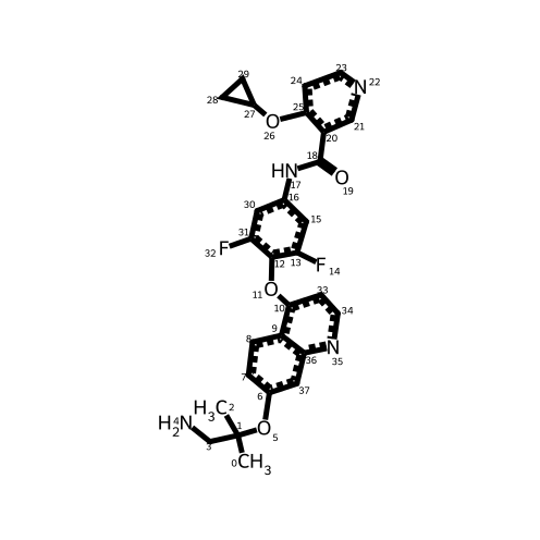 CC(C)(CN)Oc1ccc2c(Oc3c(F)cc(NC(=O)c4cnccc4OC4CC4)cc3F)ccnc2c1